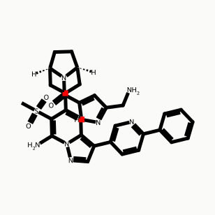 CS(=O)(=O)c1c(C2C[C@H]3CC[C@@H](C2)N3C(=O)c2cc(CN)n[nH]2)nc2c(-c3ccc(-c4ccccc4)nc3)cnn2c1N